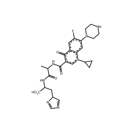 CC(NC(=O)c1cn(C2CC2)c2cc(N3CCNCC3)c(F)cc2c1=O)C(=O)NC(CC1C=NC=N1)C(=O)O